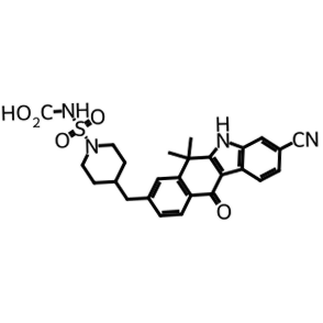 CC1(C)c2cc(CC3CCN(S(=O)(=O)NC(=O)O)CC3)ccc2C(=O)c2c1[nH]c1cc(C#N)ccc21